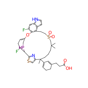 CC1(C)CCCC(C)(C2=CCCC(CCC(=O)O)=C2)c2csc(n2)C2PCC(=CCC2F)Oc2c(F)cc3[nH]ccc3c2CCS(=O)(=O)C1